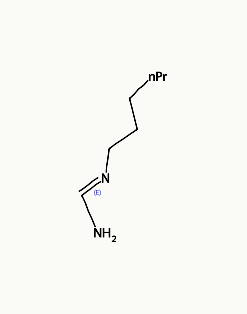 CCCCCC/N=C/N